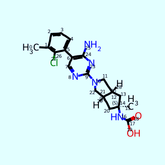 Cc1cccc(-c2cnc(N3C[C@@H]4C[C@@](C)(NC(=O)O)C[C@@H]4C3)nc2N)c1Cl